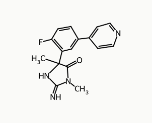 CN1C(=N)NC(C)(c2cc(-c3ccncc3)ccc2F)C1=O